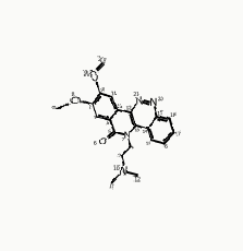 COc1cc2c(=O)n(CCN(C)C)c3c4ccccc4nnc3c2cc1OC